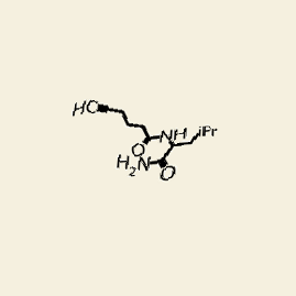 C#CCCCC(=O)NC(CC(C)C)C(N)=O